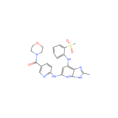 Cc1nc2c(Nc3ccccc3S(C)(=O)=O)cc(Nc3ccc(C(=O)N4CCOCC4)cn3)nc2[nH]1